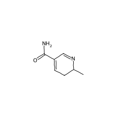 CC1CC=C(C(N)=O)C=N1